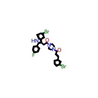 O=C(/C=C/c1cccc(Br)c1)N1CCN(C(=O)Cc2c(-c3ccc(F)cc3)[nH]c3ccc(Br)cc23)CC1